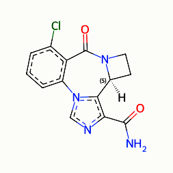 NC(=O)c1ncn2c1[C@@H]1CCN1C(=O)c1c(Cl)cccc1-2